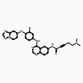 Cc1cc(Nc2ncnc3ccc(NC(=O)C#CCCN(C)C)cc23)ccc1Oc1ccn2ncnc2c1